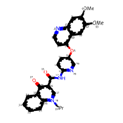 COc1cc2nccc(Oc3ccc(NC(=O)c4cn(C(C)C)c5ccccc5c4=O)nc3)c2cc1OC